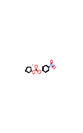 C[C@H]1CCC[C@@H]1OC(=O)Oc1ccc([N+](=O)[O-])cc1